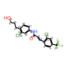 O=C(/C=C/c1ccc(C(F)(F)F)cc1Cl)Nc1ccc(CCCO)c(Cl)c1